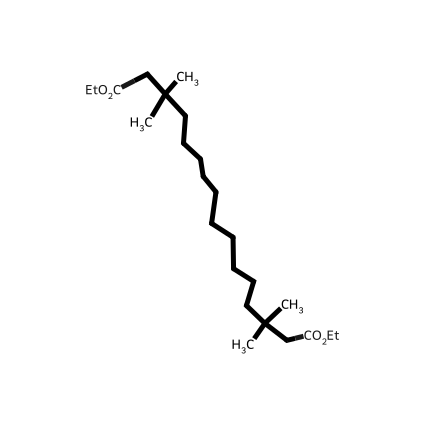 CCOC(=O)CC(C)(C)CCCCCCCCCCC(C)(C)CC(=O)OCC